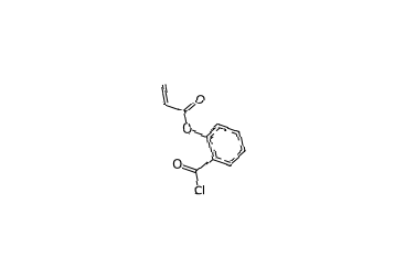 C=CC(=O)Oc1ccccc1C(=O)Cl